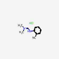 C[N+](C)=CNc1ccccc1C#N.Cl